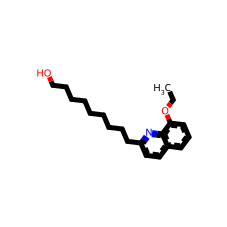 CCOc1cccc2ccc(CCCCCCCCCO)nc12